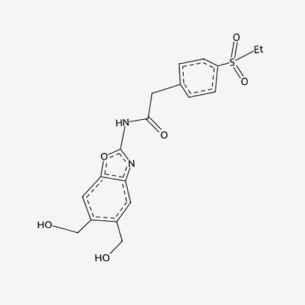 CCS(=O)(=O)c1ccc(CC(=O)Nc2nc3cc(CO)c(CO)cc3o2)cc1